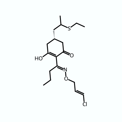 CCCC(=NOCC=CCl)C1=C(O)C[C@H](CC(C)SCC)CC1=O